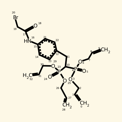 C=CCOP(=O)(OCC=C)C(Cc1ccc(NC(=O)CBr)cc1)P(=O)(OCC=C)OCC=C